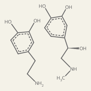 CNC[C@H](O)c1ccc(O)c(O)c1.NCCc1ccc(O)c(O)c1